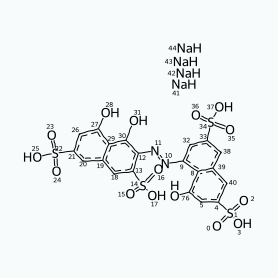 O=S(=O)(O)c1cc(O)c2c(N=Nc3c(S(=O)(=O)O)cc4cc(S(=O)(=O)O)cc(O)c4c3O)cc(S(=O)(=O)O)cc2c1.[NaH].[NaH].[NaH].[NaH]